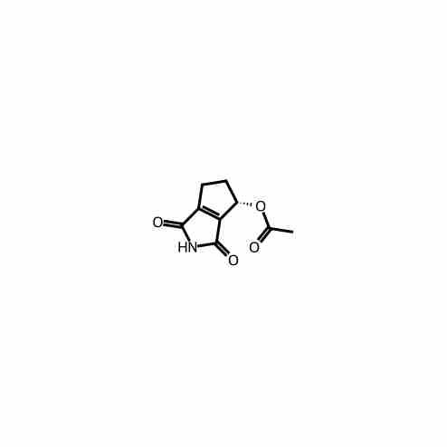 CC(=O)O[C@H]1CCC2=C1C(=O)NC2=O